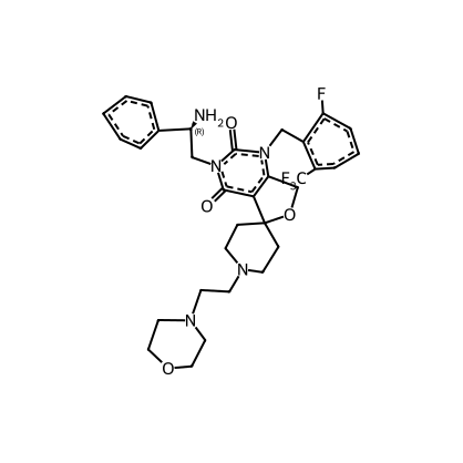 N[C@@H](Cn1c(=O)c2c(n(Cc3c(F)cccc3C(F)(F)F)c1=O)COC21CCN(CCN2CCOCC2)CC1)c1ccccc1